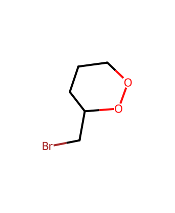 BrCC1CCCOO1